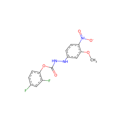 COc1cc(NNC(=O)Oc2ccc(F)cc2F)ccc1[N+](=O)[O-]